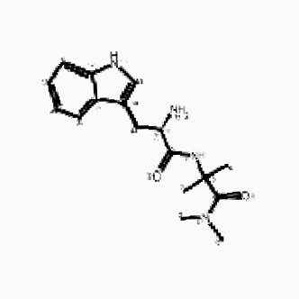 CN(C)C(=O)C(C)(C)NC(=O)[C@H](N)Cc1c[nH]c2ccccc12